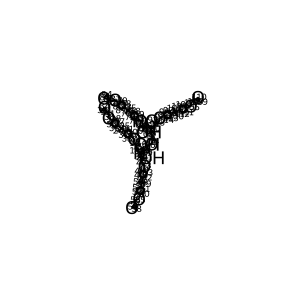 CC(CC(C)(C)OCC(C)C(C)(C)N(CC(O)COc1ccc(C(C)(C)c2ccc(OCC3CO3)cc2)cc1)CC(O)COc1ccc(C(C)(C)c2ccc(OCC3CO3)cc2)cc1)N(CC(O)COc1ccc(C(C)(C)c2ccc(OCC3CO3)cc2)cc1)CC(O)COc1ccc(C(C)(C)c2ccc(OCC3CO3)cc2)cc1